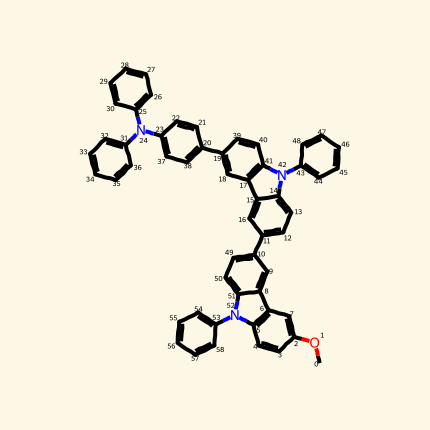 COc1ccc2c(c1)c1cc(-c3ccc4c(c3)c3cc(-c5ccc(N(c6ccccc6)c6ccccc6)cc5)ccc3n4-c3ccccc3)ccc1n2-c1ccccc1